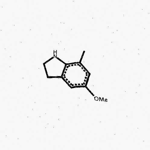 COc1cc(C)c2c(c1)CCN2